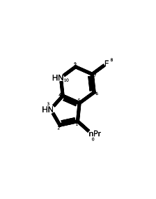 CCCc1c[nH]c2c1C=C(F)CN2